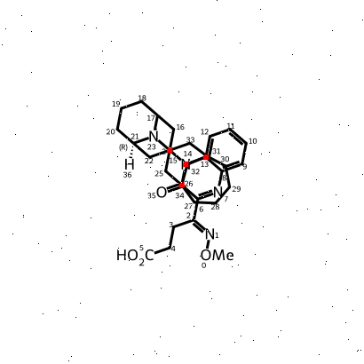 CON=C(CCC(=O)O)c1nc2ccccc2n(C2CC3CCC[C@H](C2)N3C2CC3CCCCC(C3)C2)c1=O